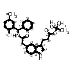 Cc1ccc(Cl)c(C(NC(=O)Cc2ccc3[nH]cc(CCC(=O)OC(C)(C)C)c3c2)c2ccccc2)c1